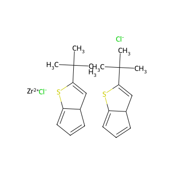 CC(C)(C)C1=CC2C=CC=C2S1.CC(C)(C)C1=CC2C=CC=C2S1.[Cl-].[Cl-].[Zr+2]